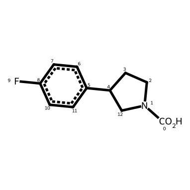 O=C(O)N1CCC(c2ccc(F)cc2)C1